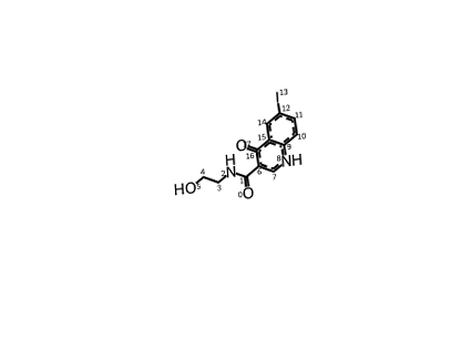 O=C(NCCO)c1c[nH]c2ccc(I)cc2c1=O